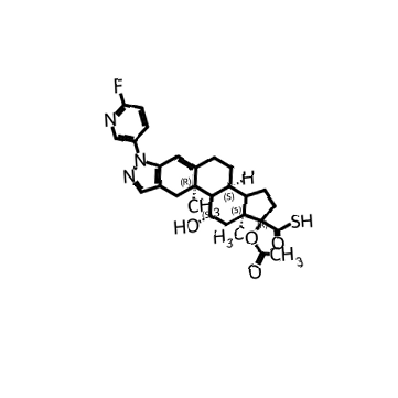 CC(=O)O[C@]1(C(=O)S)CCC2[C@@H]3CCC4=Cc5c(cnn5-c5ccc(F)nc5)C[C@]4(C)C3[C@@H](O)C[C@@]21C